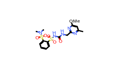 COc1cc(C)nc(CNC(=O)NS(=O)(=O)c2ccccc2S(=O)(=O)N(C)C)n1